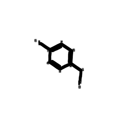 FCc1ccc(I)cc1